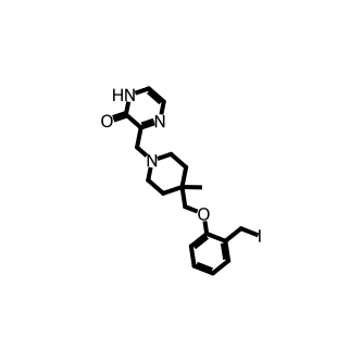 CC1(COc2ccccc2CI)CCN(Cc2ncc[nH]c2=O)CC1